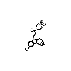 CN1C2CCC1c1c(n(CCC(=O)N3CCS(=O)(=O)CC3)c3ccc(Cl)cc13)C2